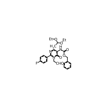 CCOC(C)OCC.O=CCn1c(-c2ccc(F)cc2)ncc(NC(=O)OCc2ccccc2)c1=O